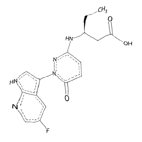 CC[C@@H](CC(=O)O)Nc1ccc(=O)n(-c2c[nH]c3ncc(F)cc23)n1